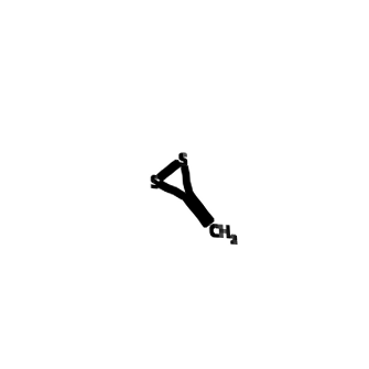 C=C1SS1